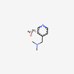 CN(C)Cc1ccncc1.O=[N+]([O-])[O-].[Ag+]